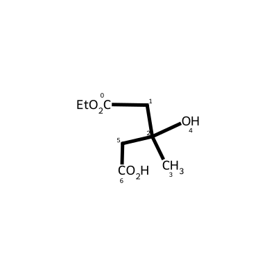 CCOC(=O)CC(C)(O)CC(=O)O